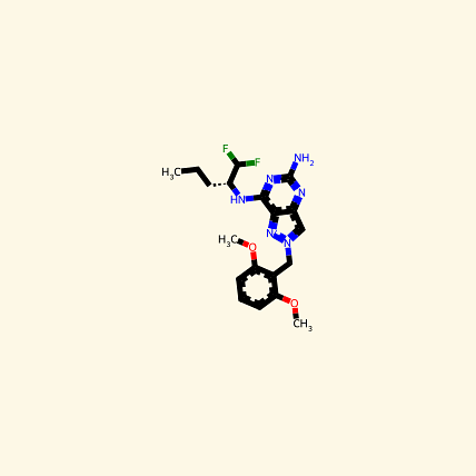 CCC[C@@H](Nc1nc(N)nc2cn(Cc3c(OC)cccc3OC)nc12)C(F)F